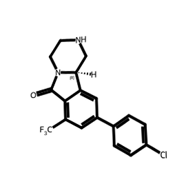 O=C1c2c(cc(-c3ccc(Cl)cc3)cc2C(F)(F)F)[C@@H]2CNCCN12